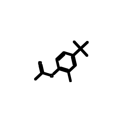 CC(=O)Oc1ccc(C(C)(C)C)cc1C